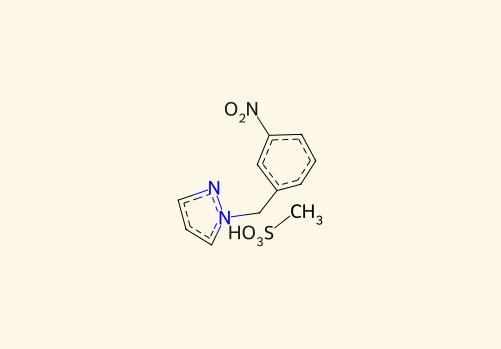 CS(=O)(=O)O.O=[N+]([O-])c1cccc(Cn2cccn2)c1